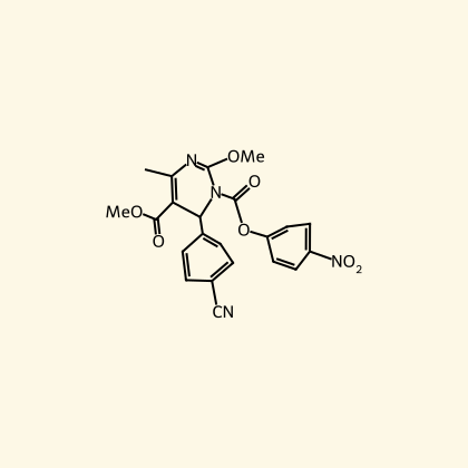 COC(=O)C1=C(C)N=C(OC)N(C(=O)Oc2ccc([N+](=O)[O-])cc2)C1c1ccc(C#N)cc1